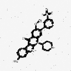 CCOc1cc2c(=O)c3c4ccc(C#N)cc4[nH]c3n(C3CCNCC3)c2cc1-c1cncc(S(=O)(=O)F)c1